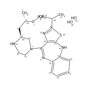 CO[C@@H](C)C[C@H]1CN(C2=Nc3ccccc3Nc3sc(C(C)C)nc32)CCN1.Cl.Cl